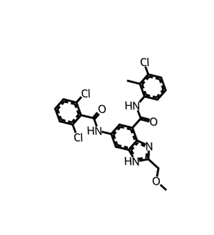 COCc1nc2c(C(=O)Nc3cccc(Cl)c3C)cc(NC(=O)c3c(Cl)cccc3Cl)cc2[nH]1